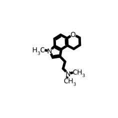 CN(C)CCc1cn(C)c2ccc3c(c12)CCCO3